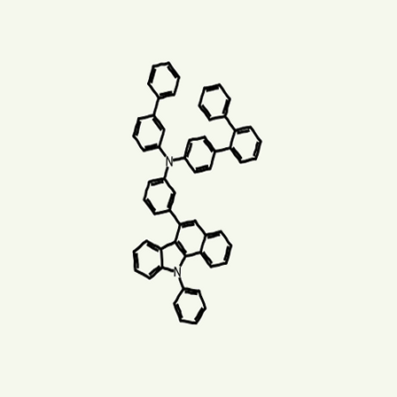 c1ccc(-c2cccc(N(c3ccc(-c4ccccc4-c4ccccc4)cc3)c3cccc(-c4cc5ccccc5c5c4c4ccccc4n5-c4ccccc4)c3)c2)cc1